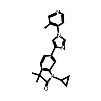 Cc1cnccc1-n1cnc(-c2ccc3c(c2)N(C2CC2)C(=O)C3(C)C)c1